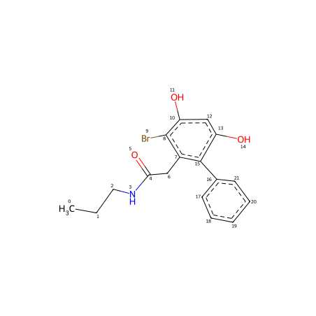 CCCNC(=O)Cc1c(Br)c(O)cc(O)c1-c1ccccc1